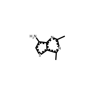 Cc1nc(C)c2scc(N)c2n1